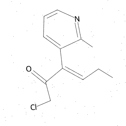 CC/C=C(/C(=O)CCl)c1cccnc1C